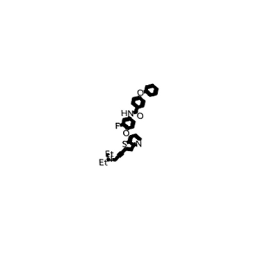 CCN(CC)CC#Cc1cc2nccc(Oc3ccc(NC(=O)c4ccc(Oc5ccccc5)cc4)cc3F)c2s1